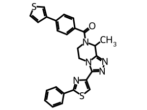 CC1c2nnc(-c3csc(-c4ccccc4)n3)n2CCN1C(=O)c1ccc(-c2ccsc2)cc1